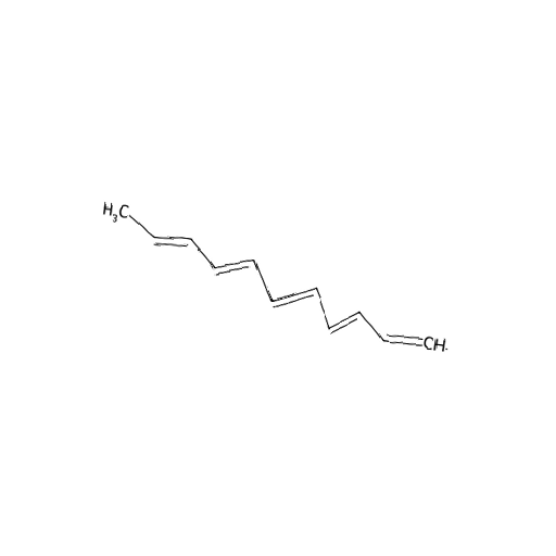 [CH]=CC=CC=CC=CC=CC